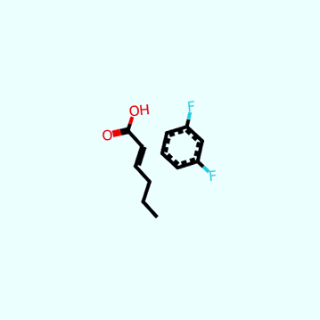 CCCC=CC(=O)O.Fc1cccc(F)c1